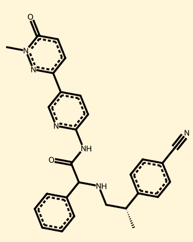 C[C@H](CNC(C(=O)Nc1ccc(-c2ccc(=O)n(C)n2)cn1)c1ccccc1)c1ccc(C#N)cc1